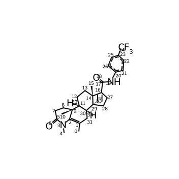 CC1=C2N(C)C(=O)CC[C@]2(C)[C@@H]2CC[C@]3(C)C(C(=O)Nc4ccc(C(F)(F)F)cc4)CC[C@H]3[C@@H]2C1